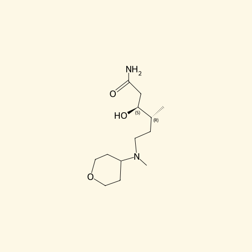 C[C@H](CCN(C)C1CCOCC1)[C@@H](O)CC(N)=O